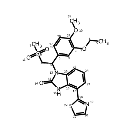 CCOc1cc([C@H](CS(C)(=O)=O)n2c(=O)[nH]c3c(-c4nccs4)cccc32)ccc1OC